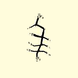 FC(CC(F)(F)C(F)(F)C(F)(F)C(F)(F)F)C(F)(F)F